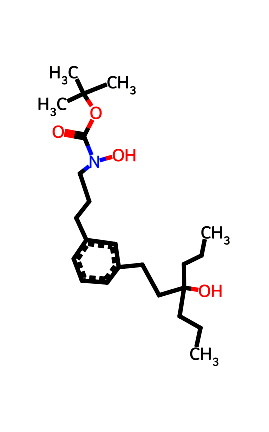 CCCC(O)(CCC)CCc1cccc(CCCN(O)C(=O)OC(C)(C)C)c1